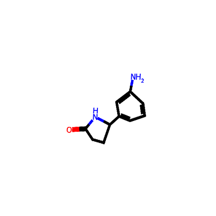 Nc1cccc(C2CCC(=O)N2)c1